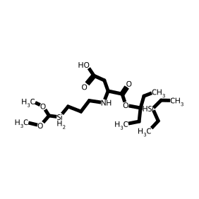 CC[SiH](CC)C(CC)(CC)OC(=O)C(CC(=O)O)NCCC[SiH2]C(OC)OC